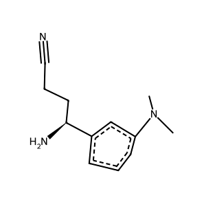 CN(C)c1cccc([C@@H](N)CCC#N)c1